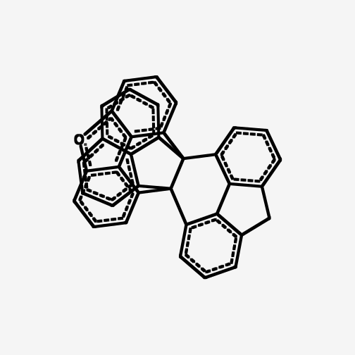 c1cc2c3c(c1)C14c5cccc6cccc(c56)C1(c1cccc(c1-3)C2)c1cccc2oc3cccc4c3c12